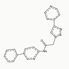 O=C(Cn1cc(-c2ccncc2)nn1)Nc1ccc(-c2ccccc2)cn1